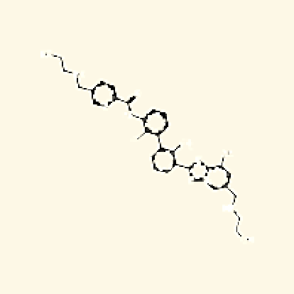 Cc1c(-c2nc3c(C#N)cc(CNCCO)cn3n2)cccc1-c1cccc(NC(=O)c2ccc(CNCCO)cn2)c1Cl